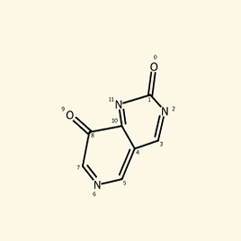 O=C1N=CC2=CN=CC(=O)C2=N1